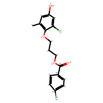 Cc1cc(O)cc(Cl)c1OCCCOC(=O)c1ccc(Br)cc1